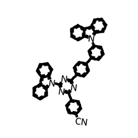 N#Cc1ccc(-c2nc(-c3ccc(-c4cccc(-n5c6ccccc6c6ccccc65)c4)cc3)nc(-n3c4ccccc4c4ccccc43)n2)cc1